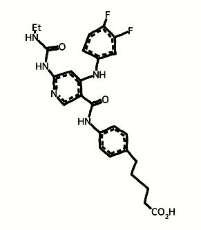 CCNC(=O)Nc1cc(Nc2ccc(F)c(F)c2)c(C(=O)Nc2ccc(CCCCC(=O)O)cc2)cn1